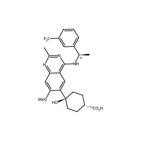 COc1cc2nc(C)nc(N[C@H](C)c3cccc(C(F)(F)F)c3)c2cc1[C@]1(O)CC[C@H](C(=O)O)CC1